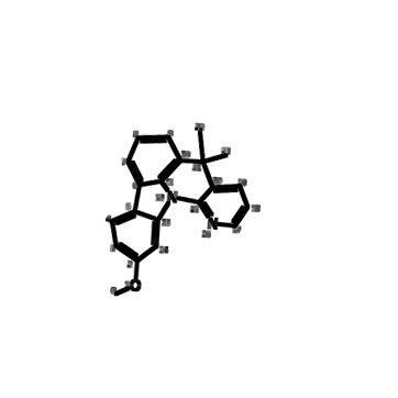 COc1ccc2c3cccc4c3n(c2c1)-c1ncccc1C4(C)C